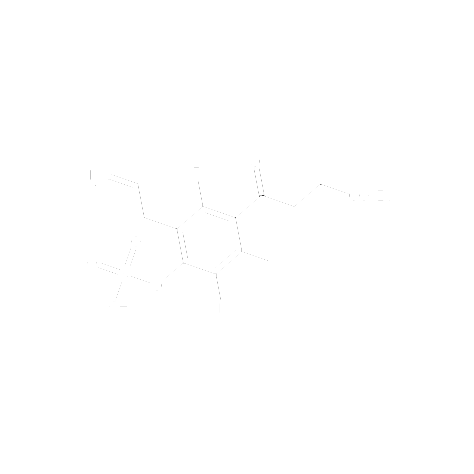 C=CCc1c(F)c(C(=O)CCC(=O)OCC)c(F)c(F)c1OS(C)(=O)=O